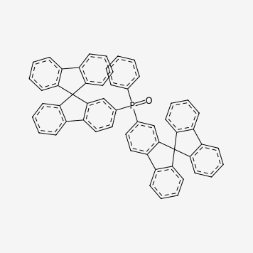 O=P(c1ccccc1)(c1ccc2c(c1)C1(c3ccccc3-c3ccccc31)c1ccccc1-2)c1ccc2c(c1)C1(c3ccccc3-c3ccccc31)c1ccccc1-2